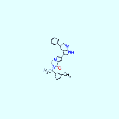 Cc1cccc([C@@H](C)N2CCn3cc(-c4c[nH]c5ncc(-c6ccccc6)cc45)cc3C2=O)c1